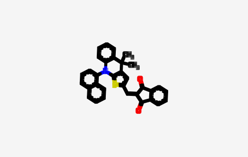 CC1(C)c2ccccc2N(c2cccc3ccccc23)c2sc(C=C3C(=O)c4ccccc4C3=O)cc21